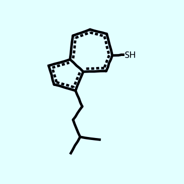 CC(C)CCc1ccc2cccc(S)cc1-2